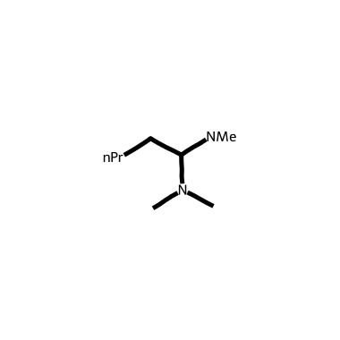 CCCCC(NC)N(C)C